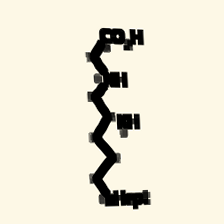 CCCCCCCCCCCCNCC(=O)O.[KH]